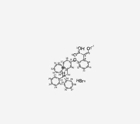 Br.COC=C(C(=O)O)c1ccccc1Oc1cccc(C[PH](c2ccccc2)(c2ccccc2)c2ccccc2)c1